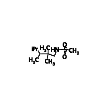 CC(C)C(C)C(C)(C)CNS(C)(=O)=O